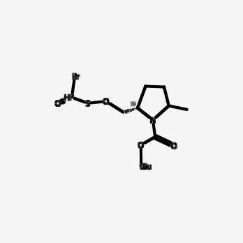 CC1CC[C@@H](COS[PH](=O)Br)N1C(=O)OC(C)(C)C